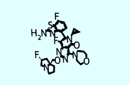 Nc1nc2c(-c3c(F)c4nc(OC[C@@]56CCCN5C[C@H](F)C6)nc(N5CCCOCC5)c4c(=O)n3C3=CC3)ccc(F)c2s1